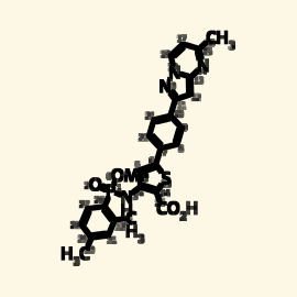 COP(=O)(Nc1cc(-c2ccc(-c3cc4nc(C)ccn4n3)cc2)sc1C(=O)O)c1ccc(C)cc1C